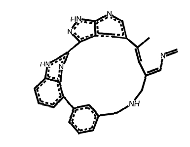 C=N/C=C1\C=C(/C)c2cnc3[nH]nc(c3c2)-c2nc3c(cccc3[nH]2)-c2cccc(c2)CNC1